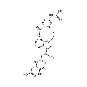 CN(CC(=O)N[C@@H](CC(=O)O)C(=O)O)C(=O)c1cccc2c1OCCCc1cc(NC(=N)N)ccc1C(=O)O2